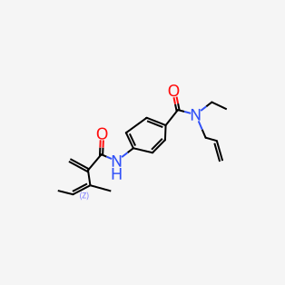 C=CCN(CC)C(=O)c1ccc(NC(=O)C(=C)/C(C)=C\C)cc1